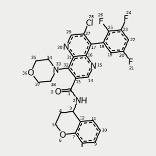 O=C(NC1CCOc2ccccc21)c1cnc2c(-c3cc(F)cc(F)c3F)c(Cl)cnc2c1N1CCOCC1